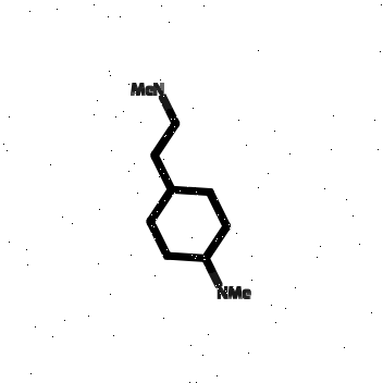 CNCCC1CCC(NC)CC1